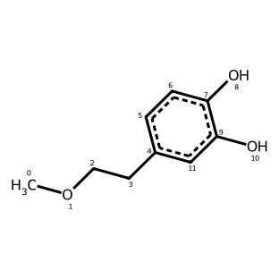 COCCc1ccc(O)c(O)c1